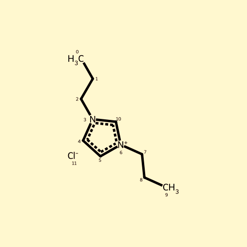 CCCn1cc[n+](CCC)c1.[Cl-]